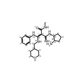 CNC(=O)/C(C(=N)N[C@H]1CCC[C@H]1N)=C(/NCC1CCOCC1)Nc1ccccc1